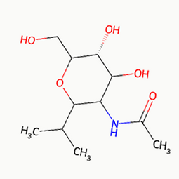 CC(=O)NC1C(C(C)C)OC(CO)[C@H](O)C1O